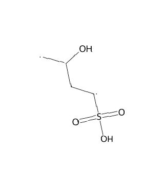 [CH2]C(O)C[CH]S(=O)(=O)O